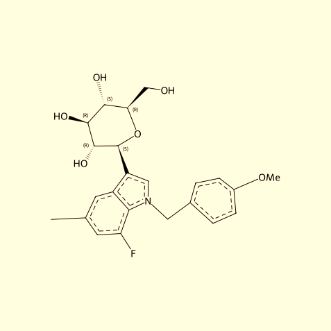 COc1ccc(Cn2cc([C@@H]3O[C@H](CO)[C@@H](O)[C@H](O)[C@H]3O)c3cc(C)cc(F)c32)cc1